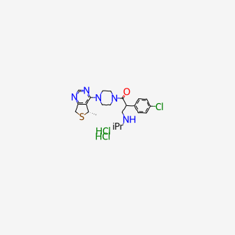 CC(C)NCC(C(=O)N1CCN(c2ncnc3c2[C@H](C)SC3)CC1)c1ccc(Cl)cc1.Cl.Cl